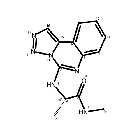 CNC(=O)[C@H](C)Nc1nc2ccccc2c2cnnn12